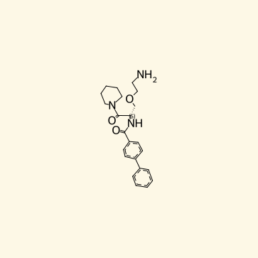 NCCOC[C@H](NC(=O)c1ccc(-c2ccccc2)cc1)C(=O)N1CCCCC1